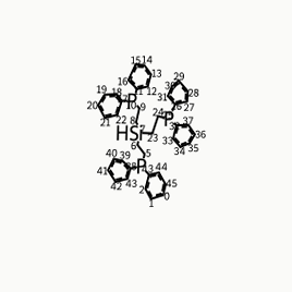 c1ccc(P(CC[SiH](CCP(c2ccccc2)c2ccccc2)CCP(c2ccccc2)c2ccccc2)c2ccccc2)cc1